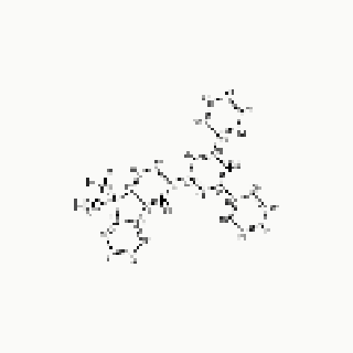 CC1(C)c2ccccc2-c2nc(-c3cc(-c4ccccc4)nc(-c4ccccc4)c3)ccc21